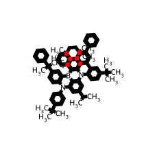 CC(C)c1cc2c3c(c1)N(c1ccc(C(C)(C)C)cc1-c1cc(-c4ccccc4)cc(-c4ccccc4)c1)c1cc4c(cc1B3c1cc(C(C)(C)c3ccccc3)ccc1N2c1ccc(C(C)(C)C)cc1)C(C)(C)CCC4(C)C